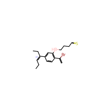 C=C(Br)c1ccc(/C(=C\CC)CC)cc1BCCCC=S